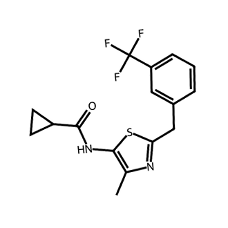 Cc1nc(Cc2cccc(C(F)(F)F)c2)sc1NC(=O)C1CC1